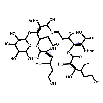 CC(=O)N/C(=C(\OC(O)/C(O)=C(/O)C(O)CCO)C(O)CCOC(O)/C(NC(C)=O)=C(/OC1OC(C)C(O)C(O)C1O)C(CCO)OC(O)/C(O)=C\C(O)CCO)C(O)O